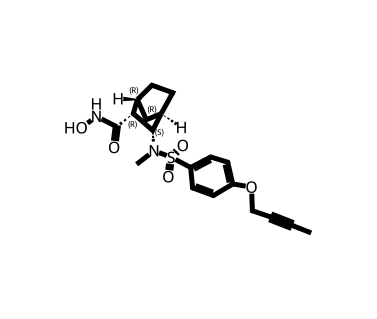 CC#CCOc1ccc(S(=O)(=O)N(C)[C@H]2[C@@H]3CC[C@H](C3)[C@H]2C(=O)NO)cc1